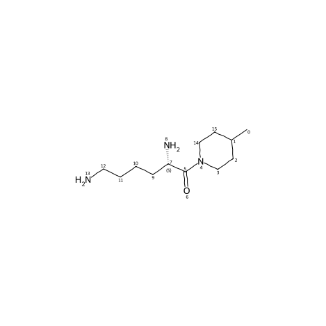 CC1CCN(C(=O)[C@@H](N)CCCCN)CC1